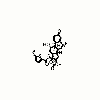 CSc1ccc(C(=O)O[C@]2(OC(=O)O)[C@H](C)C[C@H]3[C@@H]4C[C@H](F)C5=CC(=O)C=C[C@]5(C)[C@@]4(F)[C@@H](O)C[C@@]32C)s1